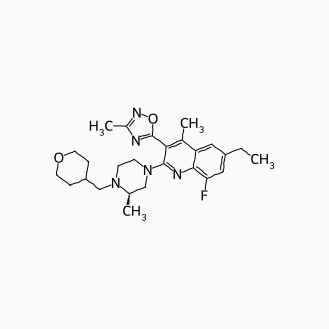 CCc1cc(F)c2nc(N3CCN(CC4CCOCC4)[C@H](C)C3)c(-c3nc(C)no3)c(C)c2c1